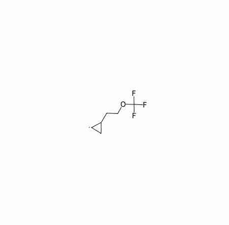 FC(F)(F)OCCC1[CH]C1